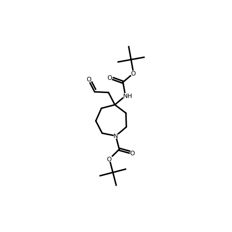 CC(C)(C)OC(=O)NC1(CC=O)CCCN(C(=O)OC(C)(C)C)CC1